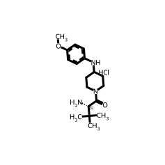 COc1ccc(NC2CCN(C(=O)[C@@H](N)C(C)(C)C)CC2)cc1.Cl